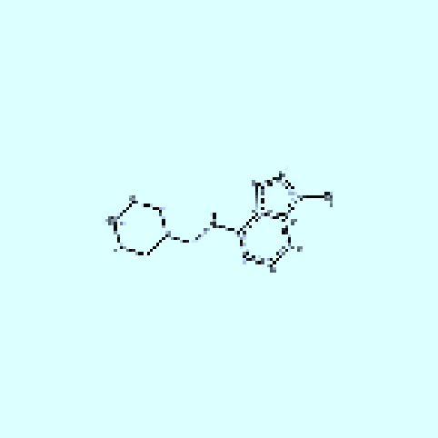 CCn1ncc2c(NCC3CCNCC3)ccnc21